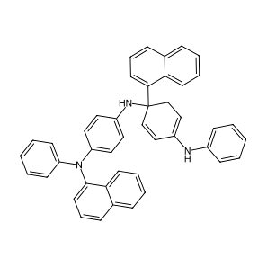 C1=CC(Nc2ccc(N(c3ccccc3)c3cccc4ccccc34)cc2)(c2cccc3ccccc23)CC=C1Nc1ccccc1